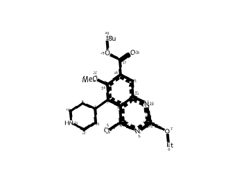 CCOc1nc(Cl)c2c(C3CCNCC3)c(OC)c(C(=O)OC(C)(C)C)cc2n1